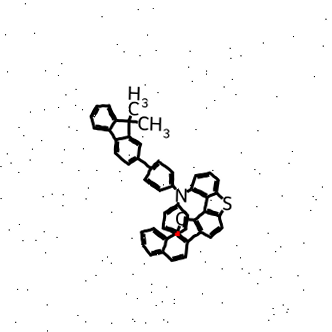 CC1(C)c2ccccc2-c2ccc(-c3ccc(N(c4ccccc4)c4cccc5sc6ccc7c8ccc9ccccc9c8oc7c6c45)cc3)cc21